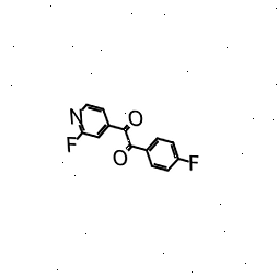 O=C(C(=O)c1ccnc(F)c1)c1ccc(F)cc1